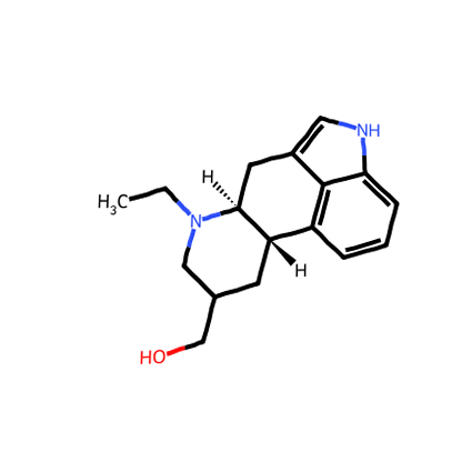 CCN1CC(CO)C[C@H]2c3cccc4[nH]cc(c34)C[C@@H]21